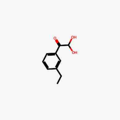 CCc1cccc(C(=O)C(O)O)c1